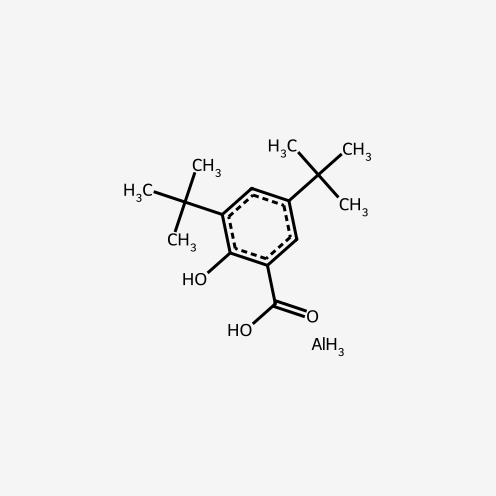 CC(C)(C)c1cc(C(=O)O)c(O)c(C(C)(C)C)c1.[AlH3]